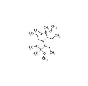 CCCN(C(CC)[Si](C)(OC)OC)C(CC)[Si](C)(OC)OC